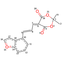 CC1(C)OC(=O)C(=CC=Cc2cccc3occc23)C(=O)O1